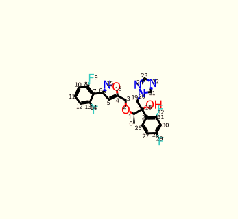 C[C@@H](OCc1cc(-c2c(F)cccc2F)no1)C(O)(Cn1cncn1)c1ccc(F)cc1F